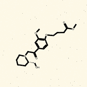 COC(=O)CCCOc1ccc(C(=O)CN2CCCC[C@H]2CO)cc1OC